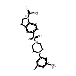 Cc1cc(N2CCN(S(=O)(=O)c3ccc4c(c3)CCN4C(=O)S)CC2)cc(C(F)(F)F)c1